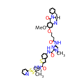 COc1cc2c(cc1OCCCC(=O)Nc1cn(C)c(C(=O)Nc3ccc4sc(C(=O)NCC(C)(C)SSc5ccccn5)cc4c3)n1)N=C[C@@H]1Cc3ccccc3N1C2=O